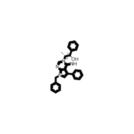 C[C@H]([C@@H](O)c1ccccc1)n1cnc2c(c(-c3ccccc3)cn2Cc2ccccc2)c1=N